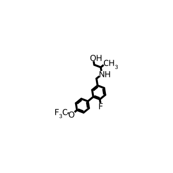 CC(CO)NCc1ccc(F)c(-c2ccc(OC(F)(F)F)cc2)c1